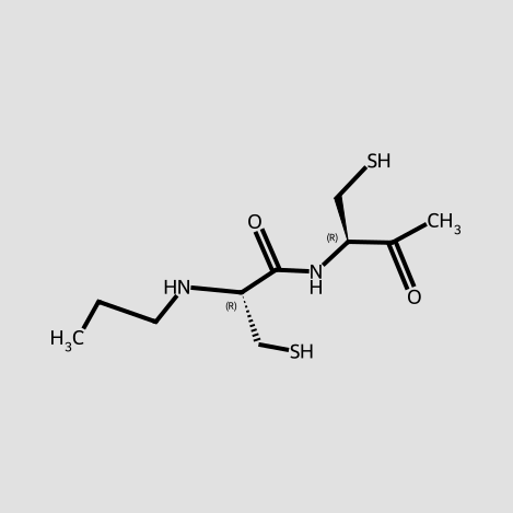 CCCN[C@@H](CS)C(=O)N[C@@H](CS)C(C)=O